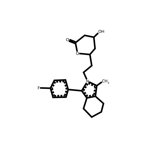 Cc1c2c(c(-c3ccc(F)cc3)n1CCC1CC(O)CC(=O)O1)CCCC2